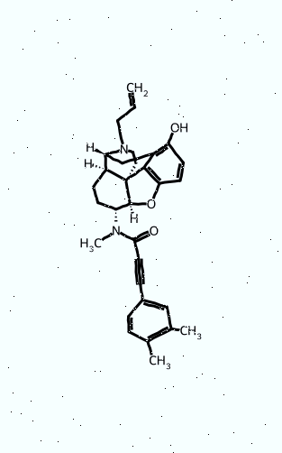 C=CCN1CC[C@@]23c4c5ccc(O)c4C[C@@H]1[C@@H]2CC[C@@H](N(C)C(=O)C#Cc1ccc(C)c(C)c1)[C@@H]3O5